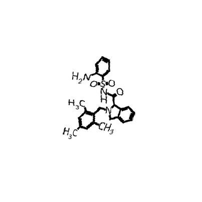 Cc1cc(C)c(CN2Cc3ccccc3C2C(=O)NS(=O)(=O)c2ccccc2N)c(C)c1